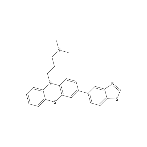 CN(C)CCCN1c2ccccc2Sc2cc(-c3ccc4scnc4c3)ccc21